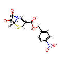 O=C(OCc1ccc([N+](=O)[O-])cc1)C1=CN2C(=O)C(=O)[C@H]2SC1